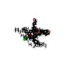 Cc1cc2c(c(-c3ccc(C(C)(C)C)cc3)c1C)C=C(c1cc(-c3ccc4occc4c3)co1)[CH]2[Zr+2]([CH]1C(c2cc(-c3ccc4occc4c3)co2)=Cc2c1cc(C)c(C)c2-c1ccc(C(C)(C)C)cc1)=[Si](C)C.[Cl-].[Cl-]